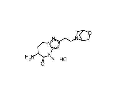 CN1C(=O)C(N)CCn2nc(CCN3CC4CC3CO4)cc21.Cl